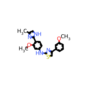 COc1cccc(-c2csc(Nc3ccc(-c4nc(C)c[nH]4)c(OC)c3)n2)c1